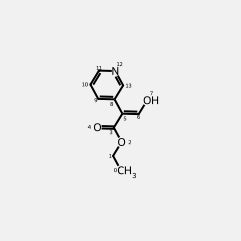 CCOC(=O)/C(=C/O)c1cccnc1